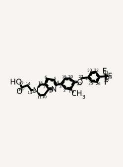 Cc1cc(-c2ccc3c(n2)CCN(CCC(=O)O)C3)ccc1OCc1ccc(C(F)(F)F)cc1